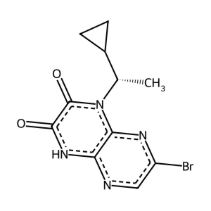 C[C@@H](C1CC1)n1c(=O)c(=O)[nH]c2ncc(Br)nc21